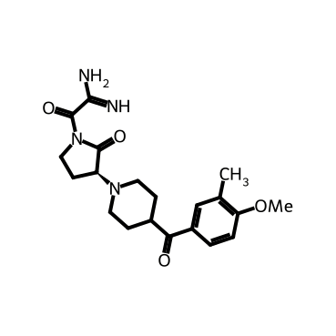 COc1ccc(C(=O)C2CCN([C@H]3CCN(C(=O)C(=N)N)C3=O)CC2)cc1C